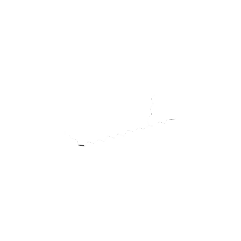 CCCCCOC(CCCCCCCCCCCC/C=C\CCO)OCCCCC